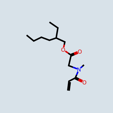 C=CC(=O)N(C)CC(=O)OCC(CC)CCCC